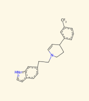 FC(F)(F)c1cccc(C2C=CN(CCc3ccc4cc[nH]c4c3)CC2)c1